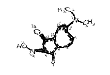 CN(C)c1ccc2c(=O)/c(=N/O)c(=O)c2c1